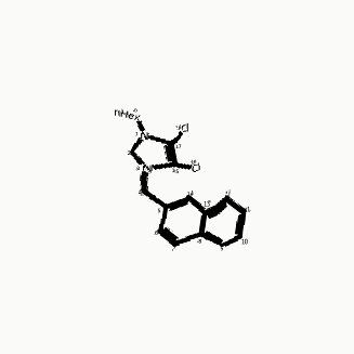 CCCCCCN1CN(Cc2ccc3ccccc3c2)C(Cl)=C1Cl